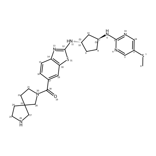 CSc1cnc(N[C@H]2CC[C@H](Nc3nc4ccc(C(=O)N5CCC6(CCNC6)C5)cc4s3)C2)nc1